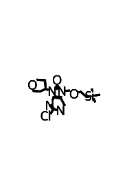 C[Si](C)(C)CCOCn1c(=O)n(C2CCOCC2)c2nc(Cl)ncc21